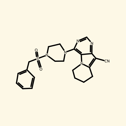 N#Cc1c2n(c3c(N4CCN(S(=O)(=O)Cc5ccccc5)CC4)ncnc13)CCCC2